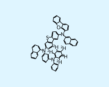 [2H]c1c([2H])c([2H])c(N(c2ccccc2)c2cccc(N(c3ccc4c(c3)sc3ccc(N(c5ccc6ccccc6c5)c5cccc6c5oc5ccccc56)cc34)c3cccc4ccccc34)c2)c([2H])c1[2H]